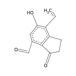 C=Cc1c(O)cc(C=O)c2c1CCC2=O